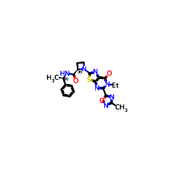 CCn1c(-c2nc(C)no2)nc2sc(N3CC[C@@H]3C(=O)N[C@H](C)c3ccccc3)nc2c1=O